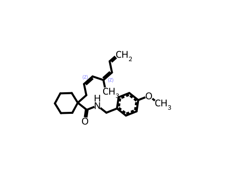 C=C/C=C(C)\C=C/CC1(C(=O)NCc2ccc(OC)cc2)CCCCC1